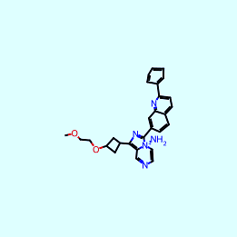 COCCOC1CC(C2=C3C=NC=C[N+]3(N)C(c3ccc4ccc(-c5ccccc5)nc4c3)=N2)C1